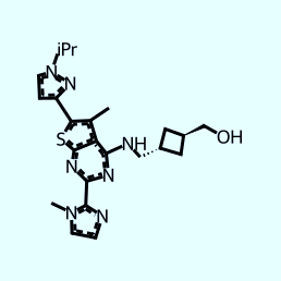 Cc1c(-c2ccn(C(C)C)n2)sc2nc(-c3nccn3C)nc(NC[C@H]3C[C@H](CO)C3)c12